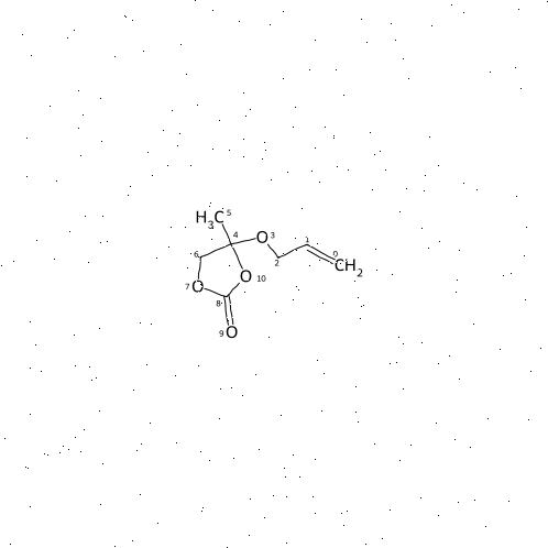 C=CCOC1(C)COC(=O)O1